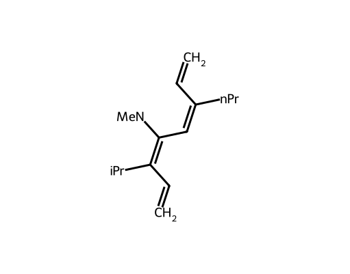 C=C/C(=C\C(NC)=C(/C=C)C(C)C)CCC